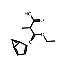 CCOC(=O)C(C)C(=O)O.c1cc2cc-2c1